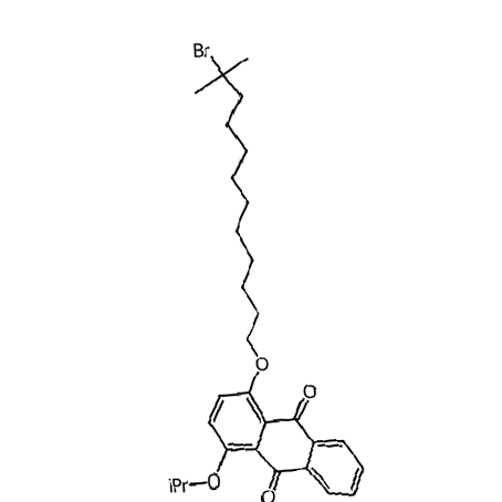 CC(C)Oc1ccc(OCCCCCCCCCCC(C)(C)Br)c2c1C(=O)c1ccccc1C2=O